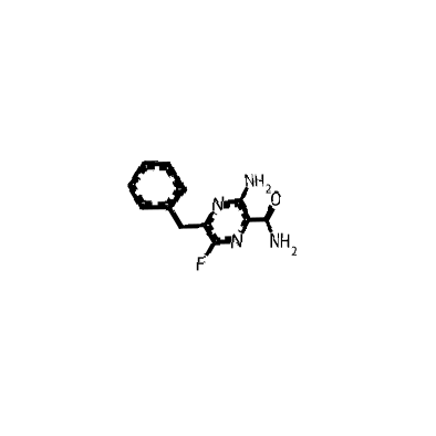 NC(=O)c1nc(F)c(Cc2ccccc2)nc1N